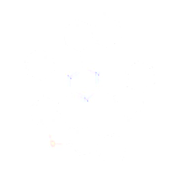 c1ccc(-c2ccc3oc4cc5ccccc5cc4c3c2-c2nc(-c3cccc4ccccc34)nc(-c3cccc4ccccc34)n2)cc1